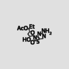 CCC(OC(C)=O)[C@@H]1C[C@@H](O)C(n2c(=O)sc3cnc(N)nc32)O1